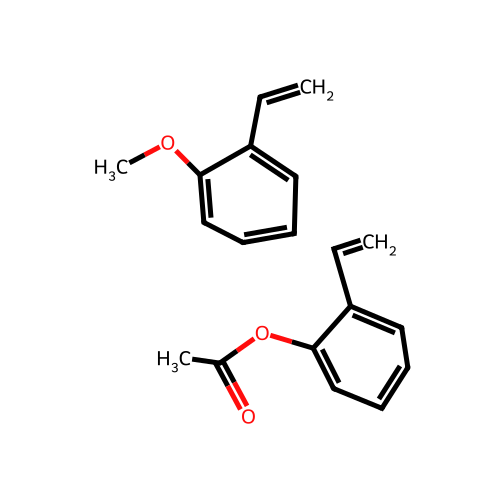 C=Cc1ccccc1OC.C=Cc1ccccc1OC(C)=O